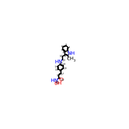 Cc1[nH]c2ccccc2c1CCNc1ccc(/C=C/C(=O)NO)cc1